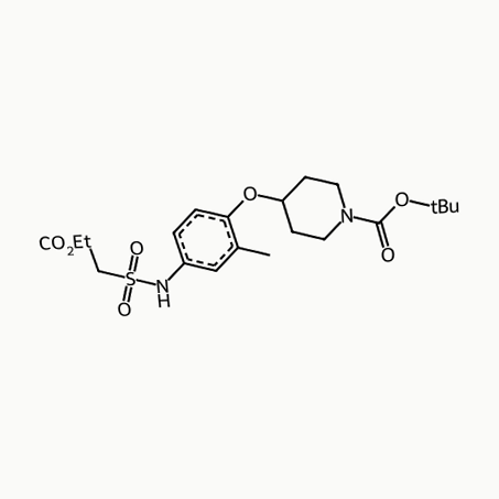 CCOC(=O)CS(=O)(=O)Nc1ccc(OC2CCN(C(=O)OC(C)(C)C)CC2)c(C)c1